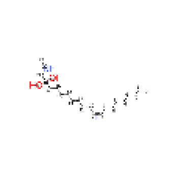 CCCCCCCC/C=C\CCCCCCCCC(O)(O)CNC